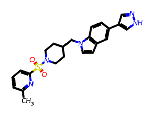 Cc1cccc(S(=O)(=O)N2CCC(Cn3ccc4cc(-c5cn[nH]c5)ccc43)CC2)n1